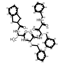 C[C@H](NC(=O)C1Cc2ccccc2C1)C(=O)N[C@@H](CCc1ccccc1)C(=O)N[C@@H](Cc1ccccc1)C(=O)C(=O)NCc1ccccc1